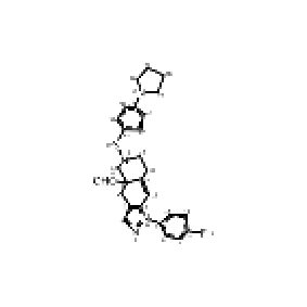 O=CC12Cc3cnn(-c4ccc(F)cc4)c3C=C1CCN(Sc1ccc(N3CCCC3)cc1)C2